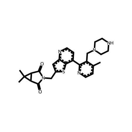 Cc1ccnc(-c2ccnc3cc(CN4C(=O)C5C(C4=O)C5(C)C)sc23)c1CN1CCNCC1